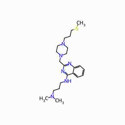 CSCCCN1CCN(Cc2nc(NCCCN(C)C)c3ccccc3n2)CC1